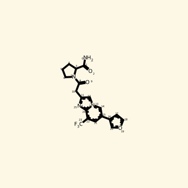 NC(=O)C1CCCN1C(=O)Cc1cn2cc(-c3ccoc3)cc(C(F)(F)F)c2n1